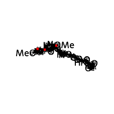 COc1ccc2cc(C3C[C@H]4C=Nc5cc(OC)c(OCc6cn(CCOCCOCCOCCNC(=O)CCN7C(=O)C=CC7=O)nn6)cc5C(=O)N4C3)ccc2c1